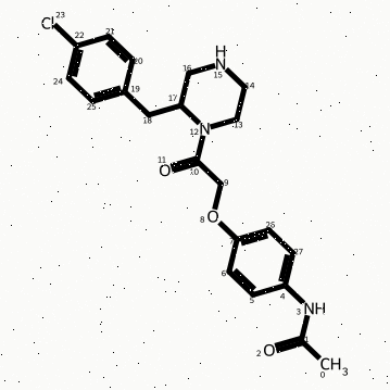 CC(=O)Nc1ccc(OCC(=O)N2CCNCC2Cc2ccc(Cl)cc2)cc1